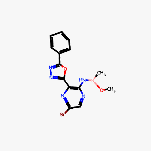 COB(C)Nc1ncc(Br)nc1-c1nnc(-c2ccccc2)o1